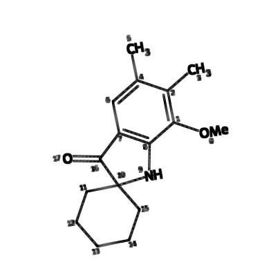 COc1c(C)c(C)cc2c1NC1(CCCCC1)C2=O